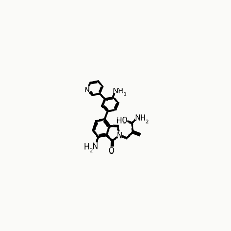 C=C(CN1Cc2c(-c3ccc(N)c(-c4cccnc4)c3)ccc(N)c2C1=O)C(N)O